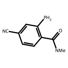 CNC(=O)c1ccc(C#N)cc1P